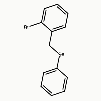 Brc1ccccc1C[Se]c1ccccc1